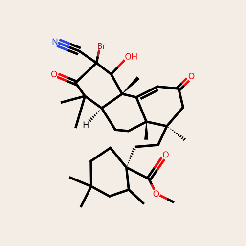 COC(=O)[C@]1(CC[C@]2(C)CC(=O)C=C3[C@@]4(C)C(O)C(Br)(C#N)C(=O)C(C)(C)[C@@H]4CC[C@]32C)CCC(C)(C)CC1C